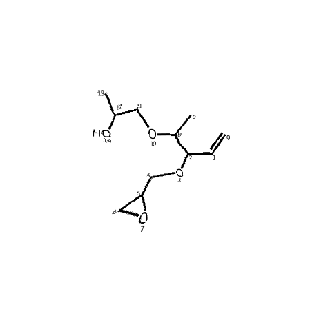 C=CC(OCC1CO1)C(C)OCC(C)O